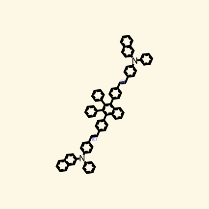 C(=C\c1ccc(N(c2ccccc2)c2ccc3ccccc3c2)cc1)/c1ccc(-c2c(-c3ccccc3)c(-c3ccccc3)c(-c3ccc(/C=C/c4ccc(N(c5ccccc5)c5ccc6ccccc6c5)cc4)cc3)c3ccccc23)cc1